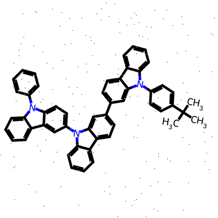 CC(C)(C)c1ccc(-n2c3ccccc3c3ccc(-c4ccc5c6ccccc6n(-c6ccc7c(c6)c6ccccc6n7-c6ccccc6)c5c4)cc32)cc1